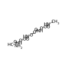 C#C[C@@H](N)C(=O)NCCOCCOCC(=O)NCCOCCOCC(=O)NCCOCCOCC(=O)NCCCC